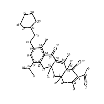 CC(=O)C1=C(C)CC2(C)CC3(C)Cc4c(C(C)C)cc(CCC5CCCCC5)c(C)c4C(=O)C3=C(C)C2(C)C1=O